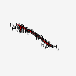 NCCCC[C@H](NC(=O)[C@@H](N)CCCCN)C(=O)NCCCOCCOCCOCCCNC(=O)CCOCCOCCOCCOCCOCCC(=O)NCCCOCCOCCOCCCNC(=O)[C@@H](N)CCCCN